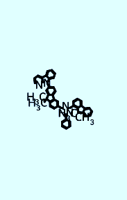 CC1(C)c2ccc(-c3nc(-c4ccccc4)nc(-c4cccc5c4C(C)(C)c4ccccc4-5)n3)cc2-c2ccc(-n3c4ccccc4c4cccnc43)cc21